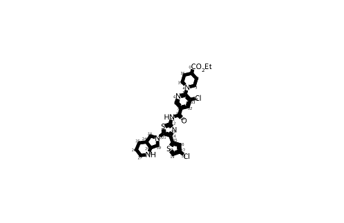 CCOC(=O)C1CCN(c2ncc(C(=O)Nc3nc(-c4cc(Cl)cs4)c(N4CC5CCCNC5C4)s3)cc2Cl)CC1